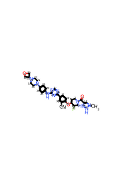 CN1C=C(C(=O)N2CC[C@H](Oc3ccc(-c4ncnc(Nc5ccc(N6CCN(C7COC7)CC6)cc5)n4)cc3C#N)[C@H](F)C2)NN1